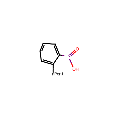 CCCCCc1ccccc1[PH](=O)O